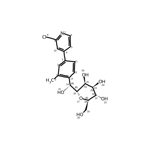 Cc1cc(-c2ccnc(Cl)c2)ccc1[C@@H](O)[C@H]1O[C@H](CO)[C@@H](O)[C@H](O)[C@@H]1O